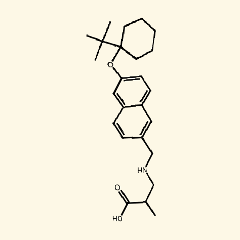 CC(CNCc1ccc2cc(OC3(C(C)(C)C)CCCCC3)ccc2c1)C(=O)O